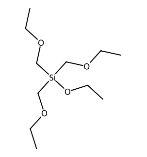 CCOC[Si](COCC)(COCC)OCC